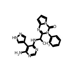 CC(Nc1ncnc(N)c1-c1cn[nH]c1)c1nc2cccn2c(=O)n1-c1ccccc1